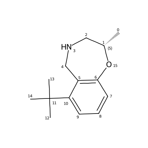 C[C@H]1CNCc2c(cccc2C(C)(C)C)O1